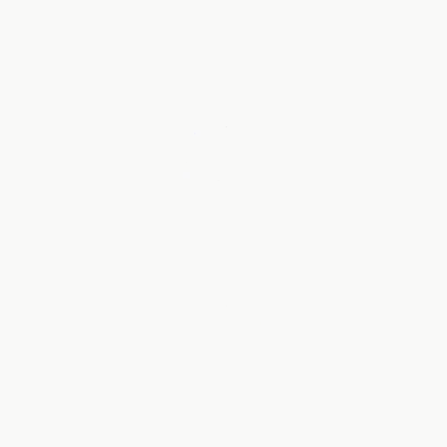 C=C(C)C(=O)OCCc1ccc(C(=C)/C=C\C(=C/C)OC(=O)C(=C)C)cc1